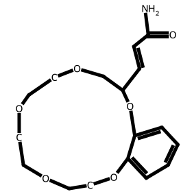 NC(=O)C=CC1COCCOCCOCCOc2ccccc2O1